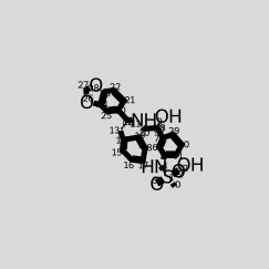 CS(=O)(=O)Nc1cc([C@@H](O)CN[C@H](Cc2ccccc2)c2ccc3c(c2)OCO3)ccc1O